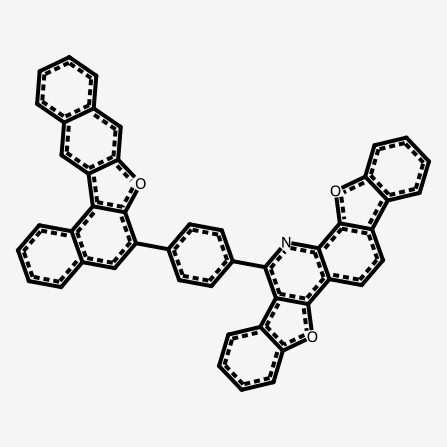 c1ccc2cc3c(cc2c1)oc1c(-c2ccc(-c4nc5c(ccc6c7ccccc7oc65)c5oc6ccccc6c45)cc2)cc2ccccc2c13